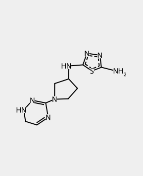 Nc1nnc(NC2CCN(C3=NNCC=N3)C2)s1